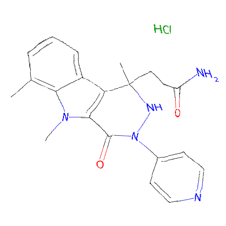 Cc1cccc2c3c(n(C)c12)C(=O)N(c1ccncc1)NC3(C)CC(N)=O.Cl